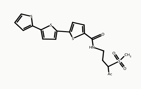 CC(=O)C(CCNC(=O)c1ccc(-c2ccc(-c3cccs3)s2)s1)S(C)(=O)=O